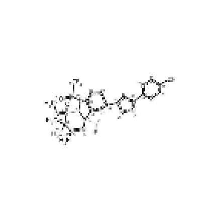 CN=[S@]1(=O)C(OC(=O)C(F)(F)F)[C@@](CF)(c2cc(-c3cn(-c4ccc(Cl)cn4)nn3)ccc2F)N=C(N)C1(C)C